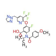 COc1ccc(C(=O)N(c2cc(F)c(Oc3ncc(Cn4nccn4)cc3C(F)(F)F)cc2C(=O)O)C(C)C)cc1